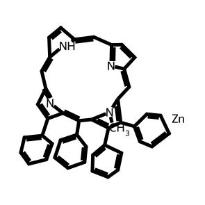 Cn1c2cc3nc(cc4ccc(cc5nc(c(-c6ccccc6)c1c(-c1ccccc1)c2-c1ccccc1)C(c1ccccc1)=C5)[nH]4)C=C3.[Zn]